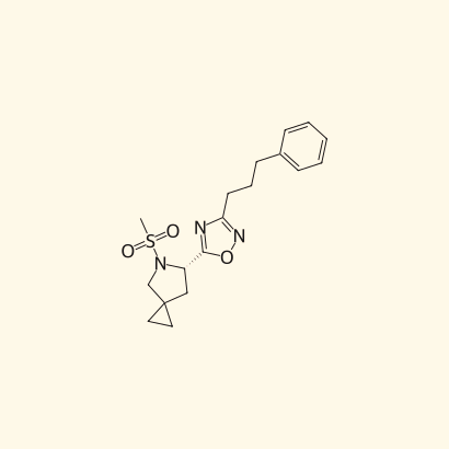 CS(=O)(=O)N1CC2(CC2)C[C@H]1c1nc(CCCc2ccccc2)no1